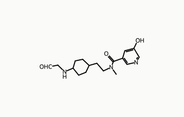 CN(CCC1CCC(NCC=O)CC1)C(=O)c1cncc(O)c1